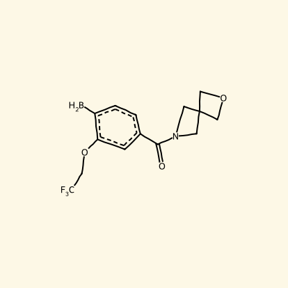 Bc1ccc(C(=O)N2CC3(COC3)C2)cc1OCC(F)(F)F